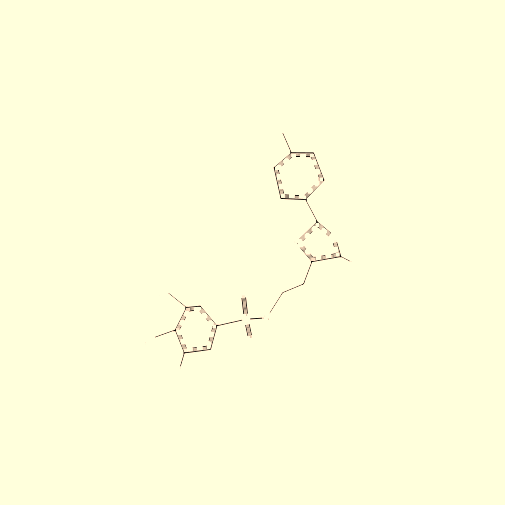 Cc1cc(S(=O)(=O)NCCc2nc(-c3ccc(Cl)cc3)sc2C)cc(C(=O)O)c1C